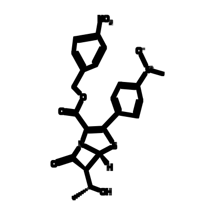 C[C@@H](O)[C@H]1C(=O)N2C(C(=O)OCc3ccc([N+](=O)[O-])cc3)=C(c3ccc([S+](C)[O-])cc3)S[C@H]12